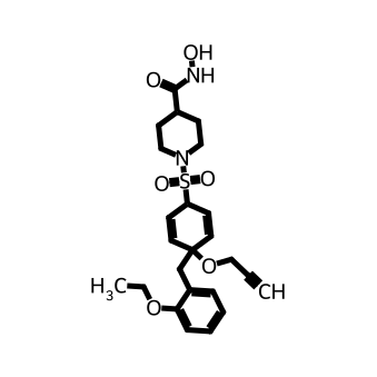 C#CCOC1(Cc2ccccc2OCC)C=CC(S(=O)(=O)N2CCC(C(=O)NO)CC2)C=C1